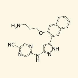 N#Cc1cnc(Nc2cc(-c3cc4ccccc4cc3OCCCN)[nH]n2)cn1